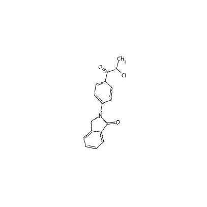 CC(Cl)C(=O)c1ccc(N2Cc3ccccc3C2=O)cc1